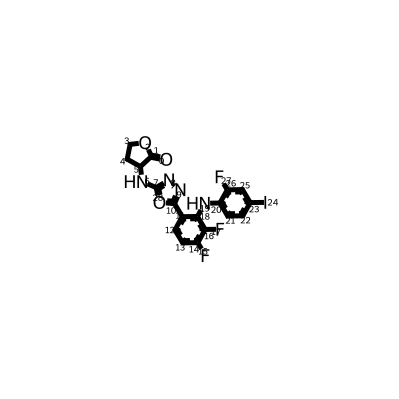 O=C1OCCC1Nc1nnc(-c2ccc(F)c(F)c2Nc2ccc(I)cc2F)o1